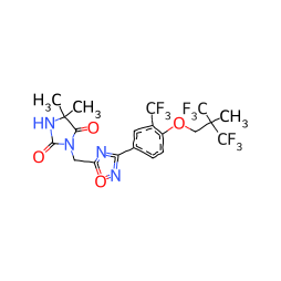 CC1(C)NC(=O)N(Cc2nc(-c3ccc(OCC(C)(C(F)(F)F)C(F)(F)F)c(C(F)(F)F)c3)no2)C1=O